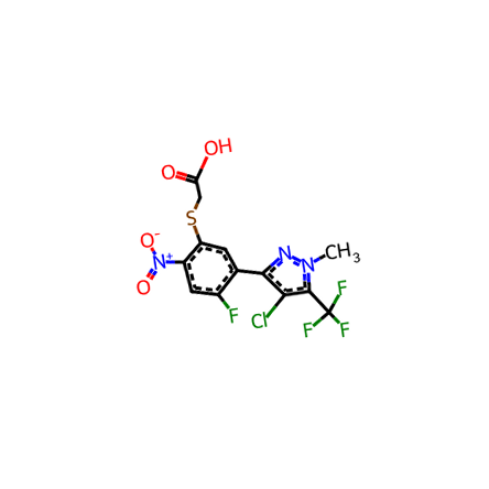 Cn1nc(-c2cc(SCC(=O)O)c([N+](=O)[O-])cc2F)c(Cl)c1C(F)(F)F